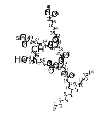 CCCCCCCC(CCCCCCC)CCCC(=O)OCC(COC(=O)CCC(COCCCCCCC(=O)OC)COCCCCCCC(=O)OC)COC(=O)OCCCN(CCO)CCO